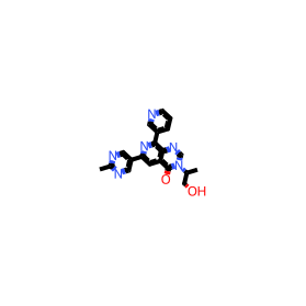 Cc1ncc(-c2cc3c(=O)n(C(C)CO)cnc3c(-c3cccnc3)n2)cn1